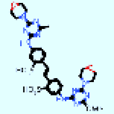 COc1nc(Nc2ccc(C=Cc3ccc(Nc4nc(C)nc(N5CCOCC5)n4)cc3S(=O)(=O)O)c(S(=O)(=O)O)c2)nc(N2CCOCC2)n1